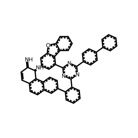 N=C1C=Cc2ccc3cc(-c4ccccc4-c4nc(-c5ccc(-c6ccccc6)cc5)nc(-c5cccc6oc7ccccc7c56)n4)ccc3c2C1=N